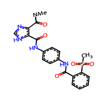 CNC(=O)c1nc[nH]c1C(=O)Nc1ccc(NC(=O)c2ccccc2S(C)(=O)=O)cc1